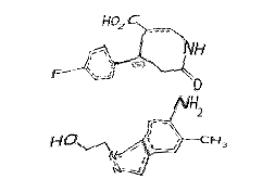 Cc1cc2cnn(CCO)c2cc1N.O=C1C[C@@H](c2ccc(F)cc2)C(C(=O)O)=CN1